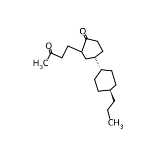 CCC[C@H]1CC[C@H](C2CCC(=O)C(CCC(C)=O)C2)CC1